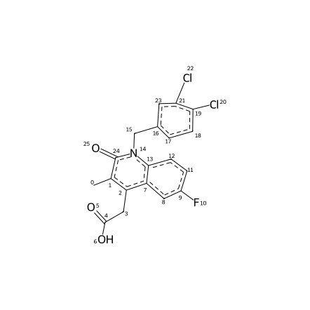 Cc1c(CC(=O)O)c2cc(F)ccc2n(Cc2ccc(Cl)c(Cl)c2)c1=O